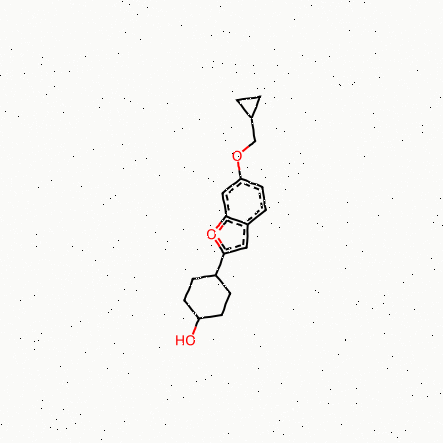 OC1CCC(c2cc3ccc(OCC4CC4)cc3o2)CC1